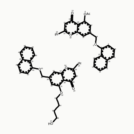 CC(=O)Oc1cc(COc2cccc3ccccc23)cc2oc(C(C)C)cc(=O)c12.CC(C)c1cc(=O)c2c(OCCCCO)cc(COc3cccc4ccccc34)cc2o1